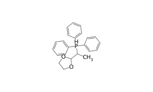 CC(C1OCCO1)[PH](c1ccccc1)(c1ccccc1)c1ccccc1